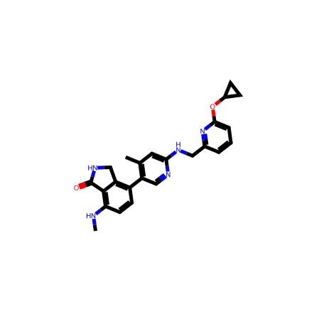 CNc1ccc(-c2cnc(NCc3cccc(OC4CC4)n3)cc2C)c2c1C(=O)NC2